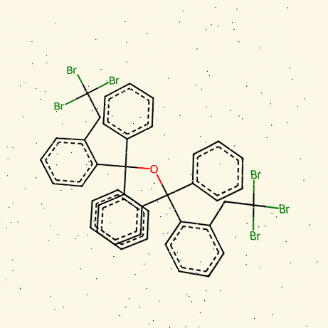 BrC(Br)(Br)Cc1ccccc1C(OC(c1ccccc1)(c1ccccc1)c1ccccc1CC(Br)(Br)Br)(c1ccccc1)c1ccccc1